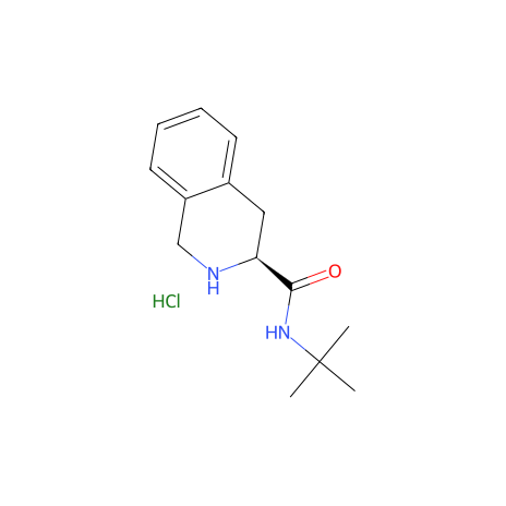 CC(C)(C)NC(=O)[C@@H]1Cc2ccccc2CN1.Cl